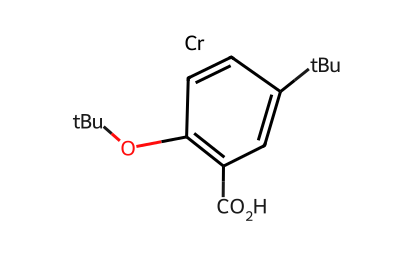 CC(C)(C)Oc1ccc(C(C)(C)C)cc1C(=O)O.[Cr]